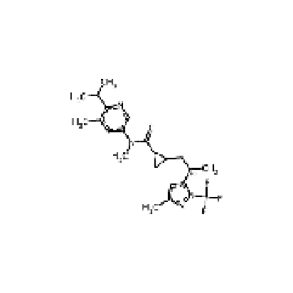 Cc1cc([C@H](C)CC2CC2C(=O)N(C)c2cnc(C(C)C)c(C)c2)n(C(F)(F)F)n1